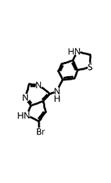 Brc1cc2c(Nc3ccc4c(c3)SCN4)ncnc2[nH]1